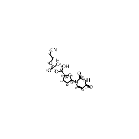 N#CCCOP(=O)(O)OC(O)[C@@H]1CC[C@H](n2ccc(=O)[nH]c2=O)O1